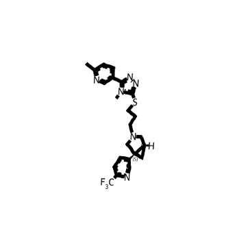 Cc1ccc(-c2nnc(SCCCN3C[C@@H]4C[C@]4(c4ccc(C(F)(F)F)nc4)C3)n2C)cn1